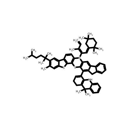 C=C/C(C)=C(\C=C1/CC(C)(C)CCC1(C)C)N1c2cc3c(c(C4=CCCC5=C4Nc4ccccc4C5(C)C)c2Sc2c1ccc1c2sc2cc(C)c(C(C)(C)CCC(C)C)cc21)Cc1ccccc1-3